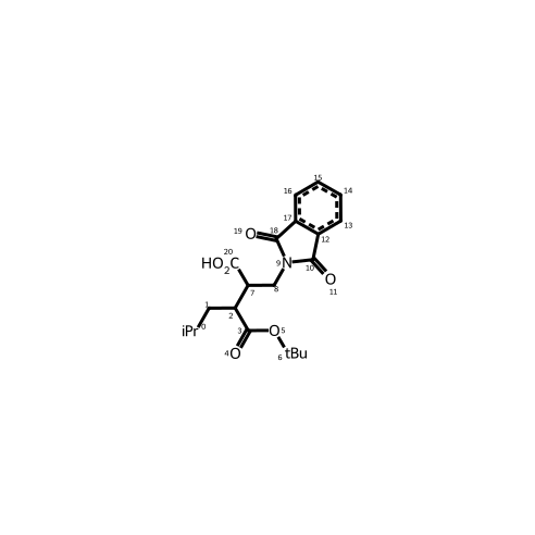 CC(C)CC(C(=O)OC(C)(C)C)C(CN1C(=O)c2ccccc2C1=O)C(=O)O